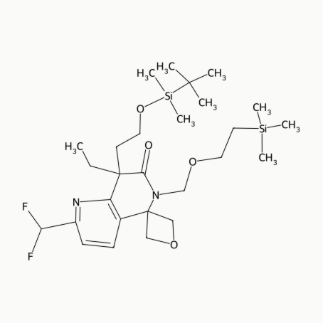 CCC1(CCO[Si](C)(C)C(C)(C)C)C(=O)N(COCC[Si](C)(C)C)C2(COC2)c2ccc(C(F)F)nc21